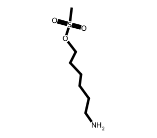 CS(=O)(=O)OCCCCCCN